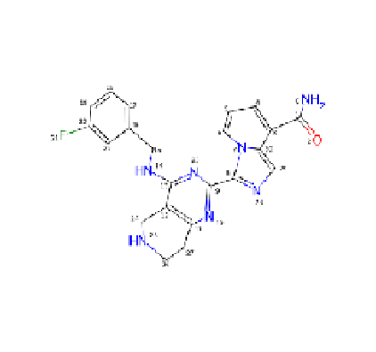 NC(=O)c1cccn2c(-c3nc4c(c(NCc5cccc(F)c5)n3)CNCC4)ncc12